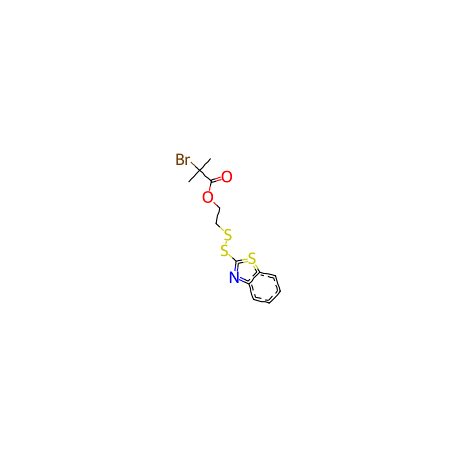 CC(C)(Br)C(=O)OCCSSc1nc2ccccc2s1